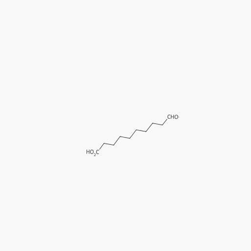 O=[C]CCCCCCCCC(=O)O